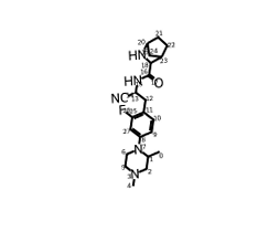 CC1CN(C)CCN1c1ccc(C[C@@H](C#N)NC(=O)C2NC3CCC2C3)c(F)c1